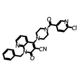 N#Cc1c(N2CCN(C(=O)c3ccc(Cl)nc3)CC2)c2cccnc2n(Cc2ccccc2)c1=O